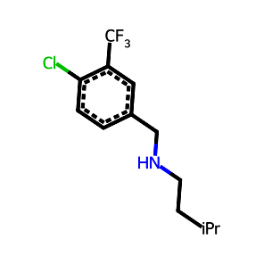 CC(C)CCNCc1ccc(Cl)c(C(F)(F)F)c1